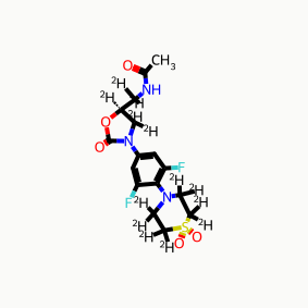 [2H]C1([2H])N(c2c(F)cc(N3C(=O)O[C@@]([2H])(C([2H])([2H])NC(C)=O)C3([2H])[2H])cc2F)C([2H])([2H])C([2H])([2H])S(=O)(=O)C1([2H])[2H]